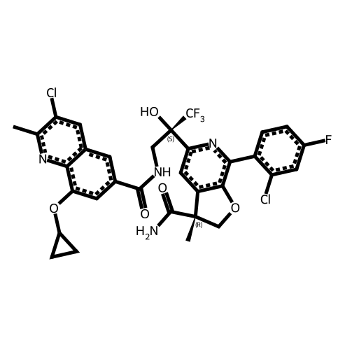 Cc1nc2c(OC3CC3)cc(C(=O)NC[C@](O)(c3cc4c(c(-c5ccc(F)cc5Cl)n3)OC[C@]4(C)C(N)=O)C(F)(F)F)cc2cc1Cl